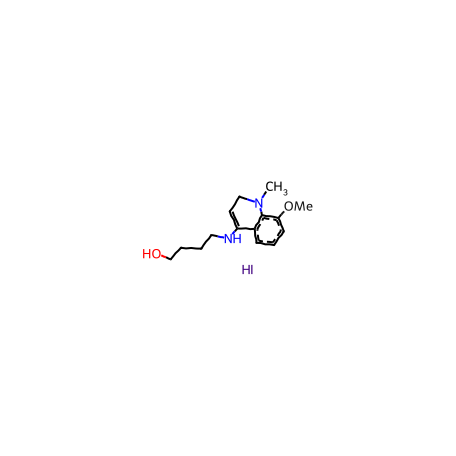 COc1cccc2c1N(C)CC=C2NCCCCO.I